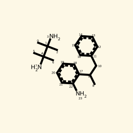 CC(C)(N)C(C)(C)N.CC(Cc1ccccc1)c1ccccc1N